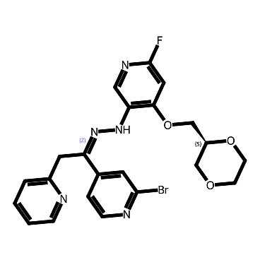 Fc1cc(OC[C@@H]2COCCO2)c(N/N=C(/Cc2ccccn2)c2ccnc(Br)c2)cn1